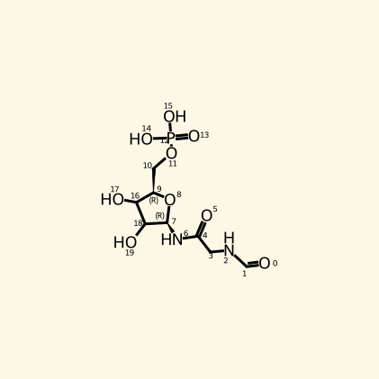 O=CNCC(=O)N[C@@H]1O[C@H](COP(=O)(O)O)C(O)C1O